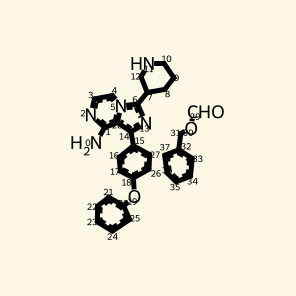 Nc1nccn2c(C3CCCNC3)nc(-c3ccc(Oc4ccccc4)cc3)c12.O=COCc1ccccc1